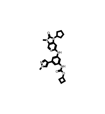 Cn1cc(-c2cc(NC(=O)OC3CCC3)cc(Nc3cc4c(cn3)n(C)c(=O)n4C3CCCC3)c2)cn1